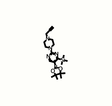 C#CCN1CCN(c2ncc(B3OC(C)(C)C(C)(C)O3)c([Si](C)(C)C)n2)CC1